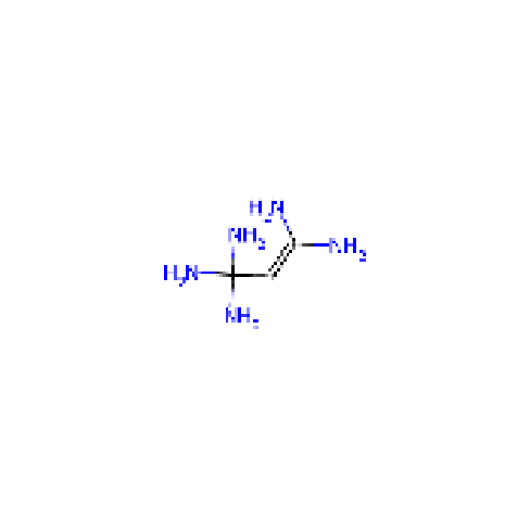 NC(N)=CC(N)(N)N